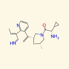 C=C(c1cccnc1/C(C=N)=C\C)[C@H]1C[C@@H](C)CN(C(=O)[C@@H](N)C2CC2)C1